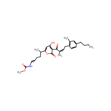 CCCCc1ccc(C/C=C(/C)C(=O)c2c(O)cc(C(C)CC/C=C/NC(=O)OC)oc2=O)c(C)c1